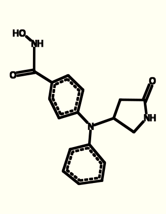 O=C1CC(N(c2ccccc2)c2ccc(C(=O)NO)cc2)CN1